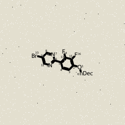 CCCCCCCCCCOc1ccc(-c2ncc(Br)cn2)c(F)c1F